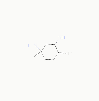 CC(C)C1CCC(C)(N)CC1N